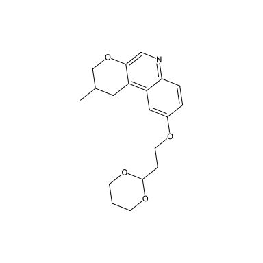 CC1COc2cnc3ccc(OCCC4OCCCO4)cc3c2C1